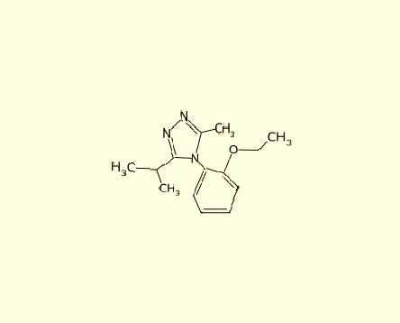 CCOc1ccccc1-n1c(C)nnc1C(C)C